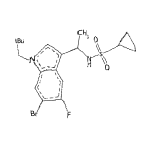 CC(NS(=O)(=O)C1CC1)c1cn(CC(C)(C)C)c2cc(Br)c(F)cc12